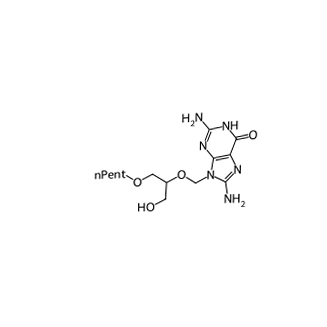 CCCCCOCC(CO)OCn1c(N)nc2c(=O)[nH]c(N)nc21